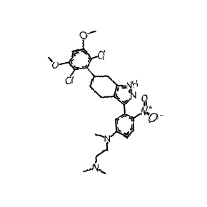 COc1cc(OC)c(Cl)c(C2CCc3c(-c4cc(N(C)CCN(C)C)ccc4[N+](=O)[O-])n[nH]c3C2)c1Cl